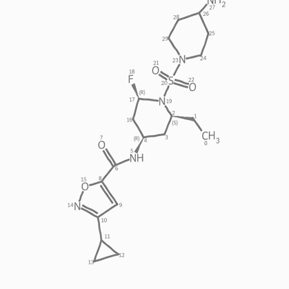 CC[C@H]1C[C@@H](NC(=O)c2cc(C3CC3)no2)C[C@@H](F)N1S(=O)(=O)N1CCC(N)CC1